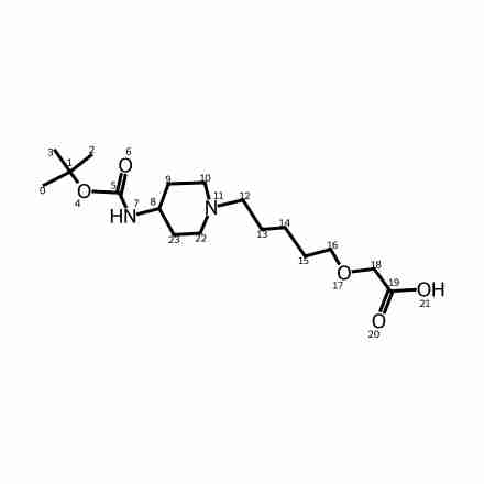 CC(C)(C)OC(=O)NC1CCN(CCCCCOCC(=O)O)CC1